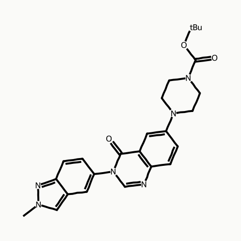 Cn1cc2cc(-n3cnc4ccc(N5CCN(C(=O)OC(C)(C)C)CC5)cc4c3=O)ccc2n1